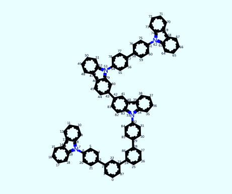 c1cc(-c2ccc(-n3c4ccccc4c4ccccc43)cc2)cc(-c2cccc(-c3ccc(-n4c5ccccc5c5cc(-c6ccc7c8ccccc8n(-c8ccc(-c9ccc(-n%10c%11ccccc%11c%11ccccc%11%10)cc9)cc8)c7c6)ccc54)cc3)c2)c1